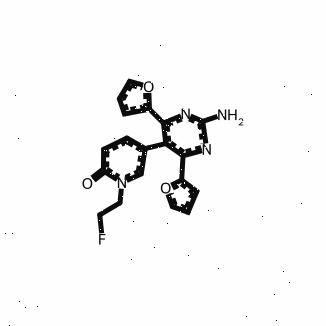 Nc1nc(-c2ccco2)c(-c2ccc(=O)n(CCF)c2)c(-c2ccco2)n1